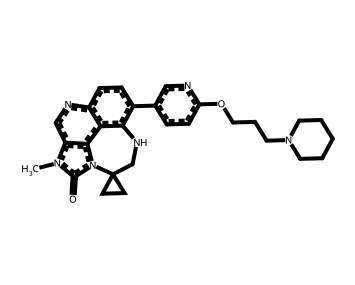 Cn1c(=O)n2c3c4c(c(-c5ccc(OCCCN6CCCCC6)nc5)ccc4ncc31)NCC21CC1